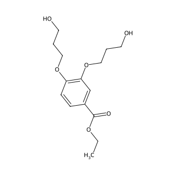 CCOC(=O)c1ccc(OCCCO)c(OCCCO)c1